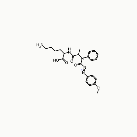 COc1ccc(/N=N/C(=O)N(c2ccccc2)C(C)C(=O)NC(CCCCN)C(=O)O)cc1